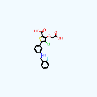 O=C(O)COc1c(C(=O)O)sc(-c2cccc(NCc3ccccc3F)c2)c1Cl